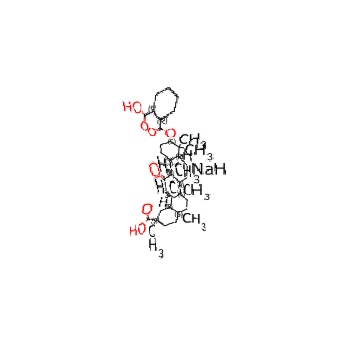 CC1(C)[C@@H](OC(=O)[C@@H]2CCCC[C@@H]2C(=O)O)CC[C@]2(C)[C@H]3C(=O)C=C4[C@@H]5C[C@@](C)(C(=O)O)CC[C@]5(C)CC[C@@]4(C)[C@]3(C)CC[C@@H]12.[NaH]